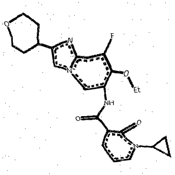 CCOc1c(NC(=O)c2cccn(C3CC3)c2=O)cn2cc(C3CCOCC3)nc2c1F